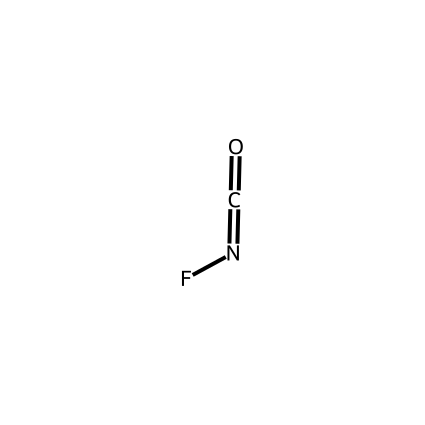 O=C=NF